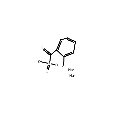 O=C(c1ccccc1Cl)P(=O)([O-])[O-].[Na+].[Na+]